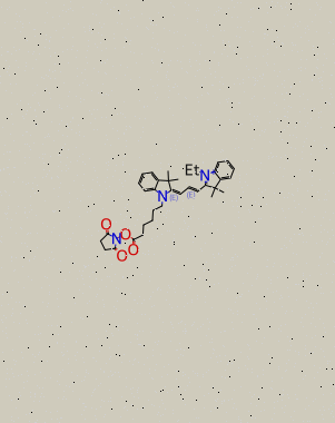 CC[N+]1=C(/C=C/C=C2/N(CCCCCC(=O)ON3C(=O)CCC3=O)c3ccccc3C2(C)C)C(C)(C)c2ccccc21